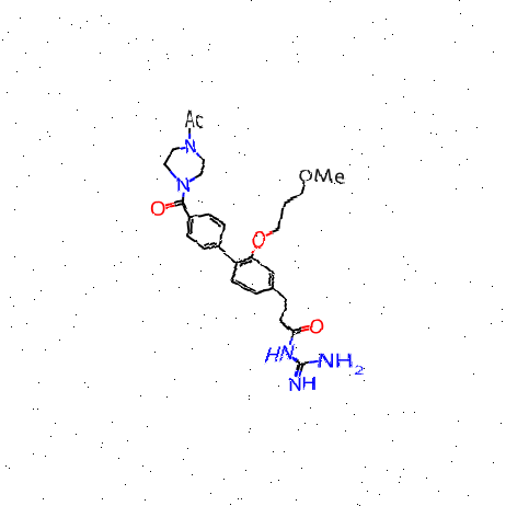 COCCCOc1cc(CCC(=O)NC(=N)N)ccc1-c1ccc(C(=O)N2CCN(C(C)=O)CC2)cc1